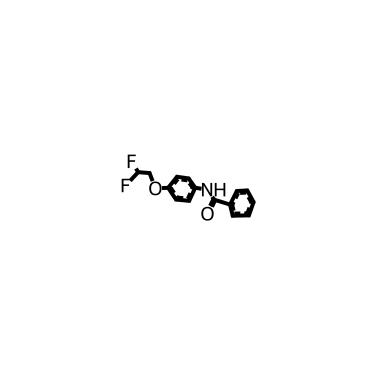 O=C(Nc1ccc(OCC(F)F)cc1)c1ccccc1